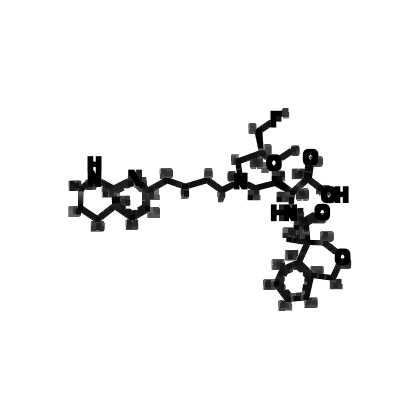 CO[C@H](CF)CN(CCCCc1ccc2c(n1)NCCC2)CC[C@H](NC(=O)C1(C)COCc2ccccc21)C(=O)O